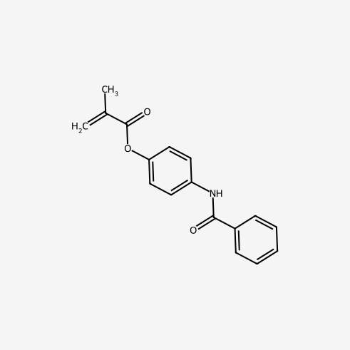 C=C(C)C(=O)Oc1ccc(NC(=O)c2ccccc2)cc1